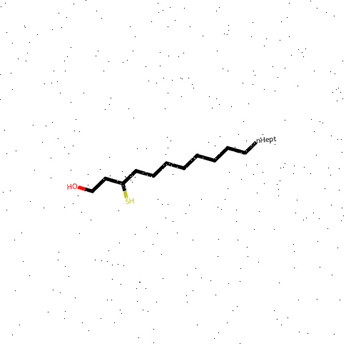 CCCCCCCCCCCCCCCC(S)CCO